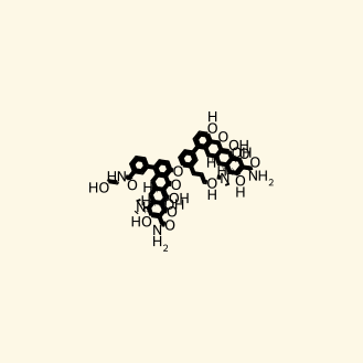 CN(C)[C@@H]1C(O)=C(C(N)=O)C(=O)[C@@]2(O)C(O)=C3C(=O)c4c(O)ccc(-c5ccc(Oc6ccc(-c7cccc(C(=O)NCCO)c7)c7c6C(=O)C6=C(O)[C@]8(O)C(=O)C(C(N)=O)=C(O)[C@@H](N(C)C)[C@@H]8C[C@@H]6C7)c(CCCO)c5)c4C[C@H]3C[C@@H]12